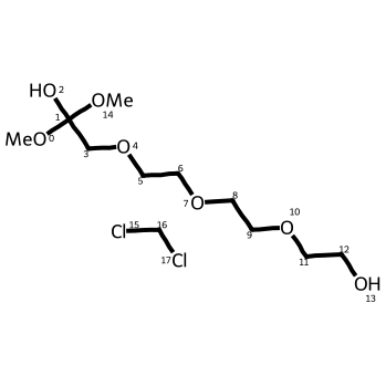 COC(O)(COCCOCCOCCO)OC.ClCCl